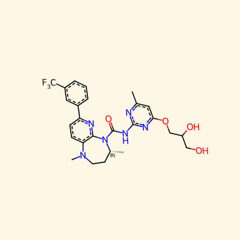 Cc1cc(OCC(O)CO)nc(NC(=O)N2c3nc(-c4cccc(C(F)(F)F)c4)ccc3N(C)CC[C@H]2C)n1